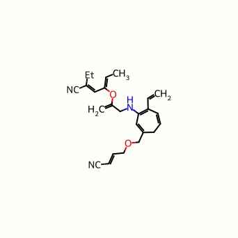 C=CC1=C(NCC(=C)OC(=C\C)/C=C(/C#N)CC)C=C(COC/C=C/C#N)CC=C1